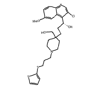 COc1ccc2ncc(Cl)c([C@H](O)CCC3(CO)CCN(CCCSc4cccs4)CC3)c2c1